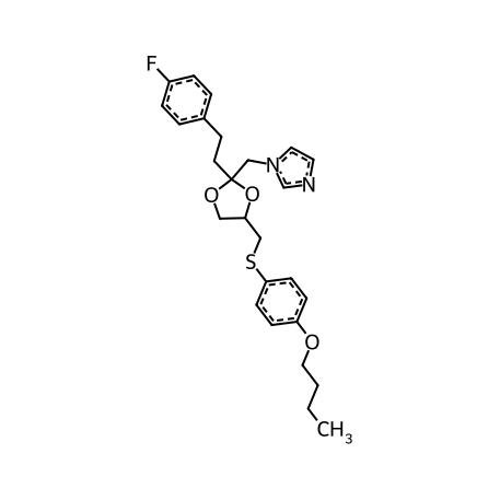 CCCCOc1ccc(SCC2COC(CCc3ccc(F)cc3)(Cn3ccnc3)O2)cc1